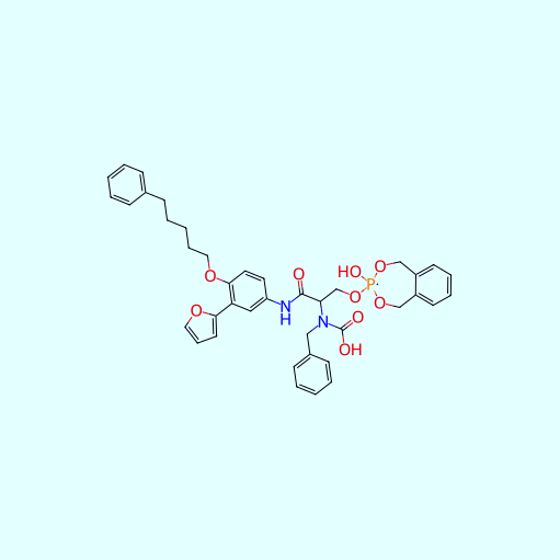 O=C(Nc1ccc(OCCCCCc2ccccc2)c(-c2ccco2)c1)C(CO[P]1(O)OCc2ccccc2CO1)N(Cc1ccccc1)C(=O)O